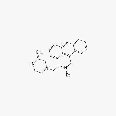 C=C1CN(CCN(CC)Cc2c3ccccc3cc3ccccc23)CCN1